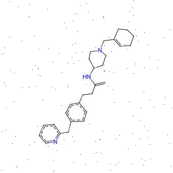 C=C(CCc1ccc(Cc2ccccn2)cc1)NC1CCN(CC2=CCCCC2)CC1